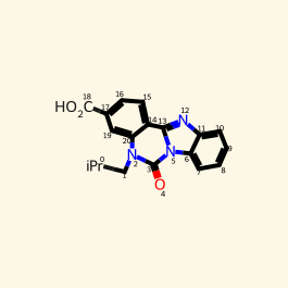 CC(C)Cn1c(=O)n2c3ccccc3nc2c2ccc(C(=O)O)cc21